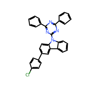 Clc1ccc(-c2ccc3c(c2)c2ccccc2n3-c2nc(-c3ccccc3)nc(-c3ccccc3)n2)cc1